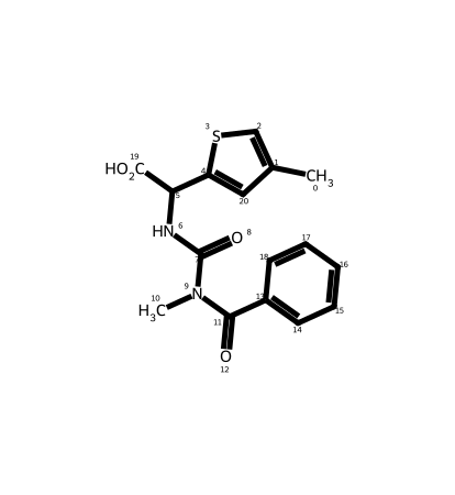 Cc1csc(C(NC(=O)N(C)C(=O)c2ccccc2)C(=O)O)c1